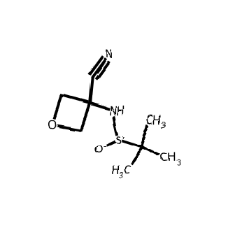 CC(C)(C)[S+]([O-])NC1(C#N)COC1